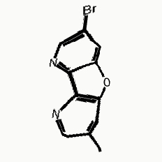 Cc1cnc2c(c1)oc1cc(Br)cnc12